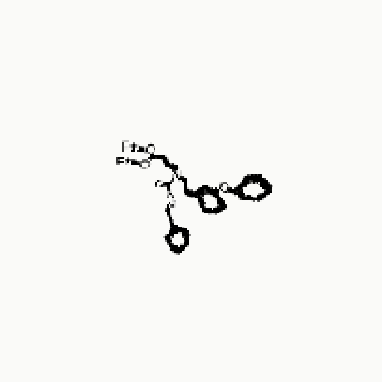 CCOC(CCCN(CCc1cccc(Oc2ccccc2)c1)C(=O)OCc1ccccc1)OCC